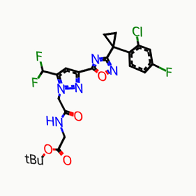 CC(C)(C)OC(=O)CNC(=O)Cn1nc(-c2nc(C3(c4ccc(F)cc4Cl)CC3)no2)cc1C(F)F